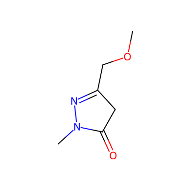 COCC1=NN(C)C(=O)C1